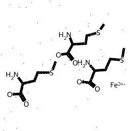 CSCCC(N)C(=O)[O-].CSCCC(N)C(=O)[O-].CSCCC(N)C(=O)[O-].[Fe+3]